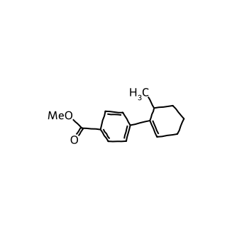 COC(=O)c1ccc(C2=CCCCC2C)cc1